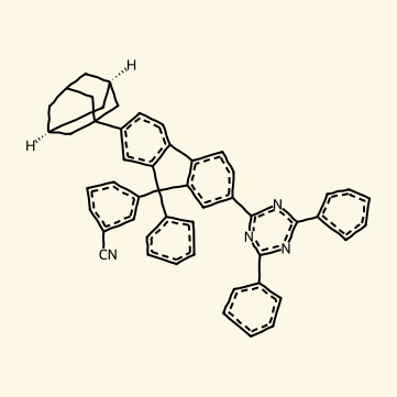 N#Cc1cccc(C2(c3ccccc3)c3cc(-c4nc(-c5ccccc5)nc(-c5ccccc5)n4)ccc3-c3ccc(C45CC6C[C@H](C4)C[C@@H](C6)C5)cc32)c1